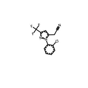 N#CCc1cc(C(F)(F)F)nn1-c1ccccc1Cl